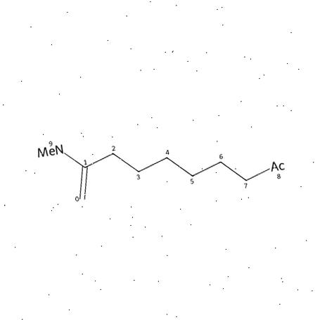 C=C(CCCCCCC(C)=O)NC